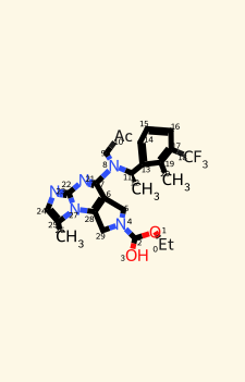 CCOC(O)N1Cc2c(N(CC(C)=O)[C@H](C)c3cccc(C(F)(F)F)c3C)nc3ncc(C)n3c2C1